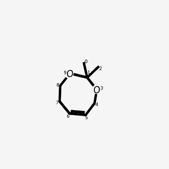 CC1(C)OC/C=C\CCO1